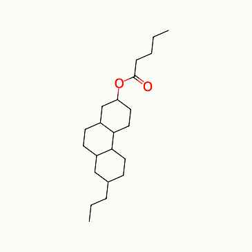 CCCCC(=O)OC1CCC2C(CCC3CC(CCC)CCC32)C1